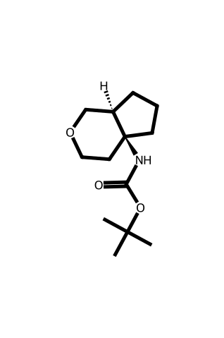 CC(C)(C)OC(=O)N[C@]12CCC[C@@H]1COCC2